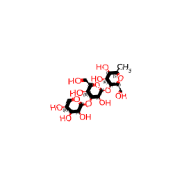 C[C@@H]1O[C@H](CO)[C@H](O[C@H]2O[C@H](CO)[C@@H](O)[C@H](O[C@@H]3OC[C@@H](O)[C@H](O)[C@H]3O)[C@H]2O)[C@H](O)[C@H]1O